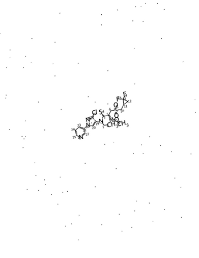 CCN(C(=S)C(CS(=O)(=O)CC1CC1(F)F)=NOC)c1cn(-c2cccnc2)nc1Cl